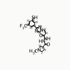 CN1CCC(C(=O)NNC(=O)/C=C\n2cnc(-c3cc(S)cc(C(F)(F)F)c3)n2)C1